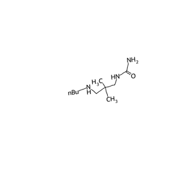 CCCCNCC(C)(C)CNC(N)=O